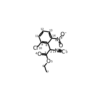 [C-]#[N+]C(C(=O)OCC)c1c(Cl)cccc1[N+](=O)[O-]